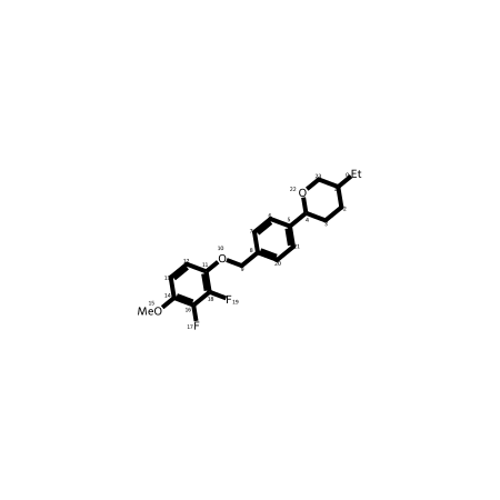 CCC1CCC(c2ccc(COc3ccc(OC)c(F)c3F)cc2)OC1